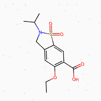 CCOc1cc2c(cc1C(=O)O)S(=O)(=O)N(C(C)C)C2